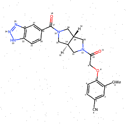 COc1cc(C#N)ccc1OCC(=O)N1C[C@H]2CN(C(=O)c3ccc4[nH]nnc4c3)C[C@@H]2C1